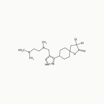 CCC1(CC)CC2(CCC(c3n[nH]cc3CN(C)CCN(C)C(=O)O)CC2)OC1=O